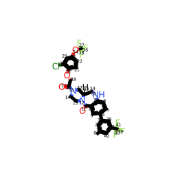 Cc1cc(-c2ccc3c(c2)C(=O)N2CCN(C(=O)COc4ccc(OC(F)(F)F)cc4Cl)C[C@H]2CN3)cc(C(F)(F)F)c1